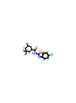 CC1CC(C(=O)Nc2nc3ccc(Cl)cc3o2)CC(C)(C)C1